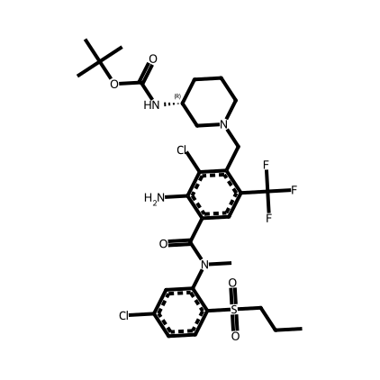 CCCS(=O)(=O)c1ccc(Cl)cc1N(C)C(=O)c1cc(C(F)(F)F)c(CN2CCC[C@@H](NC(=O)OC(C)(C)C)C2)c(Cl)c1N